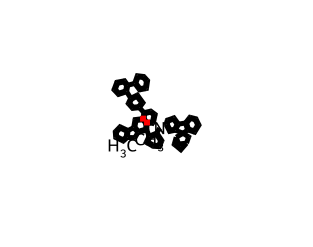 CC1(C)c2ccccc2-c2cccc(-c3ccccc3N(c3ccc(-c4ccc(-c5ccccc5-c5ccccc5)cc4)cc3)c3ccc4c(c3)C3(CC5CCC3C5)c3ccccc3-4)c21